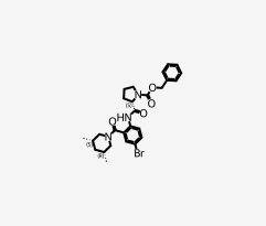 C[C@@H]1C[C@H](C)CN(C(=O)c2cc(Br)ccc2NC(=O)[C@@H]2CCCN2C(=O)OCc2ccccc2)C1